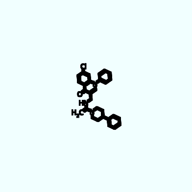 C=C(NCc1cn(-c2ccccc2)c2cc(Cl)ccc2c1=O)N1CCC(c2ccccc2)CC1